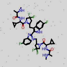 CNC(C)C(=O)NC(C(=O)N1CC(F)(F)CC1Cc1c(-c2nc3cc(F)ccc3n2CC2CC(F)(F)CN2C(=O)C(NC(=O)C(C)NC)C2CC2)[nH]c2cc(F)ccc12)C1CC1